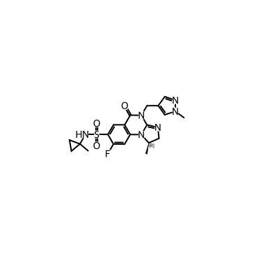 C[C@@H]1CN=C2N(Cc3cnn(C)c3)C(=O)c3cc(S(=O)(=O)NC4(C)CC4)c(F)cc3N21